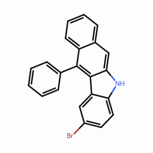 Brc1ccc2[nH]c3cc4ccccc4c(-c4ccccc4)c3c2c1